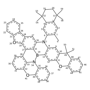 Cc1cc2c(cc1N1c3cc4c(cc3B3c5c1cc1c(oc6ccccc61)c5-c1cccc5c1N3c1ccccc1O5)Oc1ccccc1C4(C)C)C(C)(C)CCC2(C)C